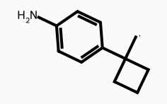 [CH2]C1(c2ccc(N)cc2)CCC1